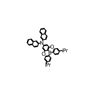 CC(C)c1ccc2c(c1)Oc1cc(N(c3ccc4ccccc4c3)c3ccc4ccccc4c3)cc3c1B2c1ccc(C(C)C)cc1O3